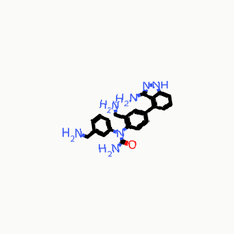 NCc1cccc(N(C(N)=O)c2ccc(-c3cccc4[nH]nc(N)c34)cc2CN)c1